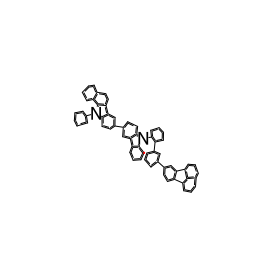 c1ccc(-n2c3ccc(-c4ccc5c(c4)c4ccccc4n5-c4ccccc4-c4cccc(-c5ccc6c(c5)-c5cccc7cccc-6c57)c4)cc3c3ccc4ccccc4c32)cc1